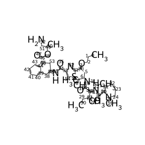 CCCO[C@H](CC(C(C)C)N(CCC)C(=O)[C@@H](NC(=O)[C@H]1CCCCN1C)[C@@H](C)CC)c1nc(C(=O)N[C@H]2Cc3ccccc3[C@H](C(=O)OC(C)CN)C2)cs1